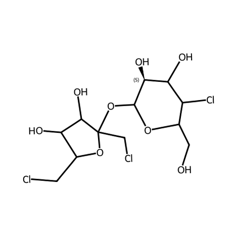 OCC1OC(OC2(CCl)OC(CCl)C(O)C2O)[C@@H](O)C(O)C1Cl